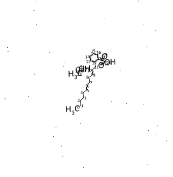 CCCCCCCCCCCCc1ccccc1S(=O)(=O)O.CO.[CaH2]